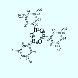 Cc1cc(C)cc(B2OB(c3cc(C)cc(C)c3)OB(c3cc(C)cc(C)c3)O2)c1